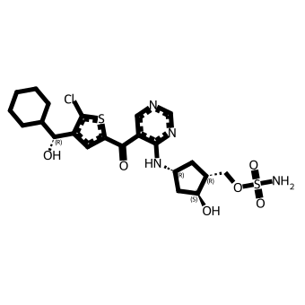 NS(=O)(=O)OC[C@H]1C[C@@H](Nc2ncncc2C(=O)c2cc([C@H](O)C3CCCCC3)c(Cl)s2)C[C@@H]1O